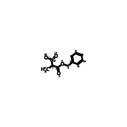 CC(C(=O)OCc1ccccc1)[N+](=O)[O-]